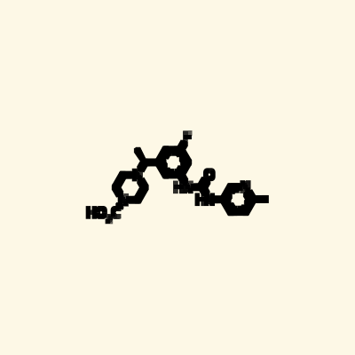 Cc1ccc(NC(=O)Nc2cc(F)cc([C@H](C)N3CCN(C(=O)O)CC3)c2)cn1